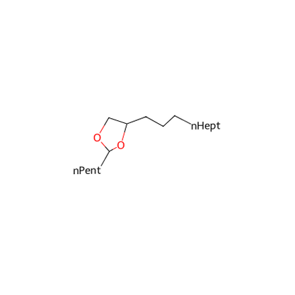 CCCCCCCCCCC1COC(CCCCC)O1